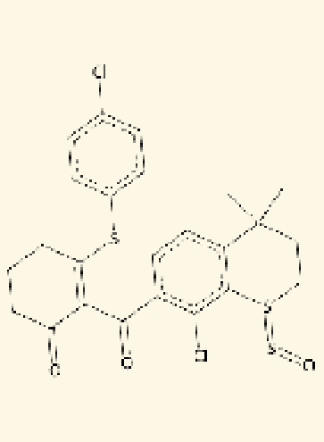 CC1(C)CCS(=S=O)c2c1ccc(C(=O)C1=C(Sc3ccc(Cl)cc3)CCCC1=O)c2Cl